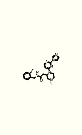 O=C(CC1CNCCN1c1ccnc(-n2ccnc2)n1)NCc1ccccc1F